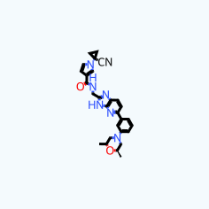 CC1CN(c2cccc(-c3ccc4nc(CNC(=O)c5ccn(C6(C#N)CC6)c5)[nH]c4n3)c2)C[C@@H](C)O1